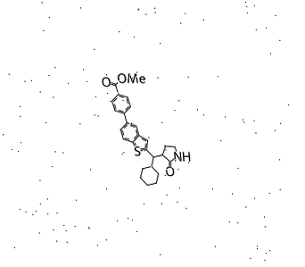 COC(=O)c1ccc(-c2ccc3sc(C(C4CCCCC4)C4CCNC4=O)cc3c2)cc1